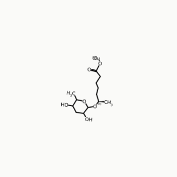 CC1OC(O[C@H](C)CCCCC(=O)OC(C)(C)C)C(O)CC1O